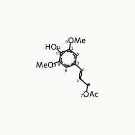 COc1cc(/C=C/COC(C)=O)cc(OC)c1O